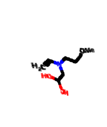 C=CN(CCOC)CC(O)O